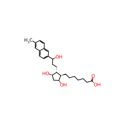 Cc1ccc2cc(C(O)CC[C@@H]3[C@@H](CCCCCCC(=O)O)[C@@H](O)C[C@H]3O)ccc2c1